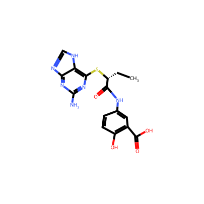 CC[C@@H](Sc1nc(N)nc2nc[nH]c12)C(=O)Nc1ccc(O)c(C(=O)O)c1